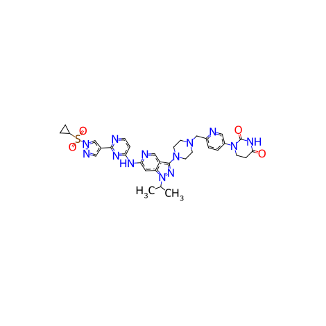 CC(C)n1nc(N2CCN(Cc3ccc(N4CCC(=O)NC4=O)cn3)CC2)c2cnc(Nc3ccnc(-c4cnn(S(=O)(=O)C5CC5)c4)n3)cc21